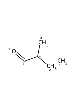 CC(C)[C]=O.[CH3]